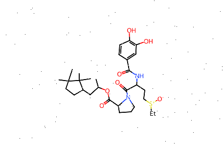 CC[S+]([O-])CCC(NC(=O)c1ccc(O)c(O)c1)C(=O)N1CCCC1C(=O)OC(C)CC1CCC(C)(C)C1(C)C